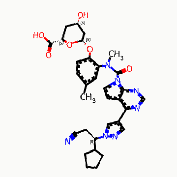 Cc1ccc(O[C@H]2C[C@@H](O)C[C@@H](C(=O)O)O2)c(N(C)C(=O)n2ccc3c(-c4cnn([C@H](CC#N)C5CCCC5)c4)ncnc32)c1